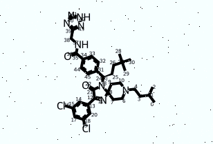 CC(C)CCN1CCC2(CC1)N=C(c1cc(Cl)cc(Cl)c1)C(=O)N2[C@H](CCC(C)(C)C)c1ccc(C(=O)NCc2nn[nH]n2)cc1